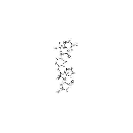 O=C(N[C@H]1CC[C@H](Cn2c3c(n(-c4cc(F)ccc4Cl)c2=O)C=C=C=N3)CC1)c1cc(Cl)cnc1C(F)(F)F